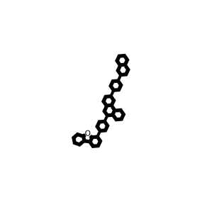 c1ccc2cc(-c3ccc(-c4ccc5cc(-c6ccc(-c7cccc8c7oc7ccccc78)cc6)c6ccccc6c5c4)cc3)ccc2c1